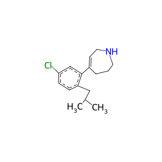 CC(C)Cc1ccc(Cl)cc1C1=CCNCCC1